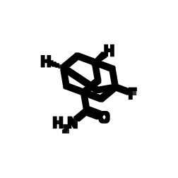 NC(=O)C12C[C@@H]3C[C@@H](CC(F)(C3)C1)C2